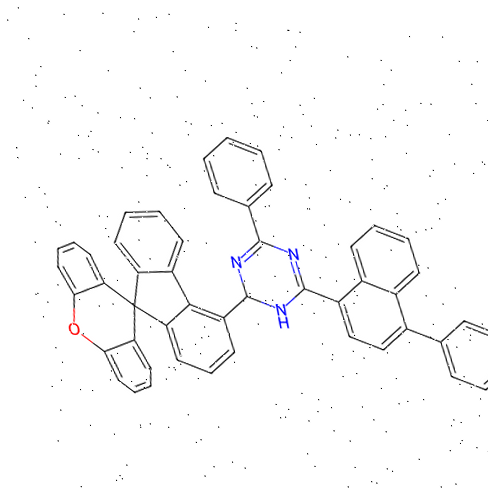 c1ccc(C2=NC(c3cccc4c3-c3ccccc3C43c4ccccc4Oc4ccccc43)NC(c3ccc(-c4ccccc4)c4ccccc34)=N2)cc1